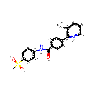 CS(=O)(=O)c1ccc(NC(=O)c2ccc(-c3ncccc3C(F)(F)F)cc2)cc1